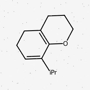 CC(C)C1=CCCC2=C1OCCC2